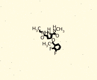 CCNC(=O)c1cc(O[C@@H](C)c2cccc(F)c2F)c(C(=O)NC)[nH]1